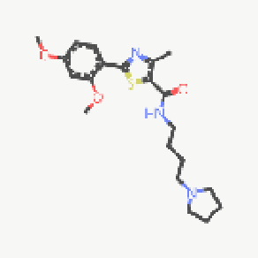 COc1ccc(-c2nc(C)c(C(=O)NCCCCN3CCCC3)s2)c(OC)c1